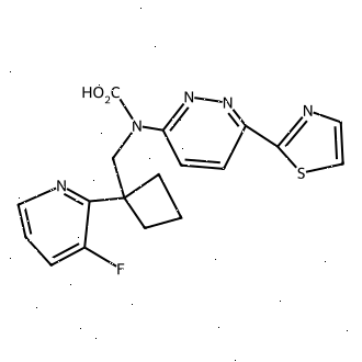 O=C(O)N(CC1(c2ncccc2F)CCC1)c1ccc(-c2nccs2)nn1